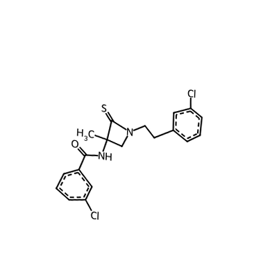 CC1(NC(=O)c2cccc(Cl)c2)CN(CCc2cccc(Cl)c2)C1=S